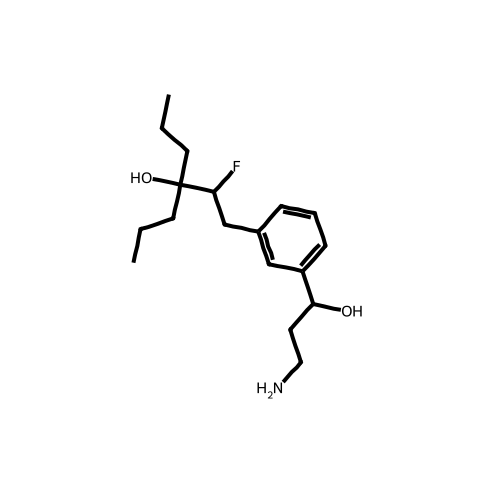 CCCC(O)(CCC)C(F)Cc1cccc(C(O)CCN)c1